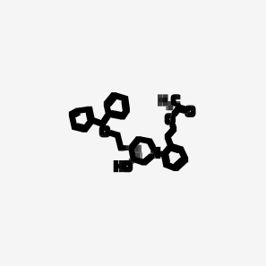 CC(=O)OCCc1ccccc1N1CC[C@H](CCOC(c2ccccc2)c2ccccc2)[C@@H](O)C1